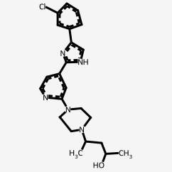 CC(O)CC(C)N1CCN(c2cc(-c3nc(-c4cccc(Cl)c4)c[nH]3)ccn2)CC1